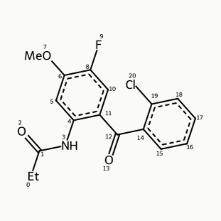 CCC(=O)Nc1cc(OC)c(F)cc1C(=O)c1ccccc1Cl